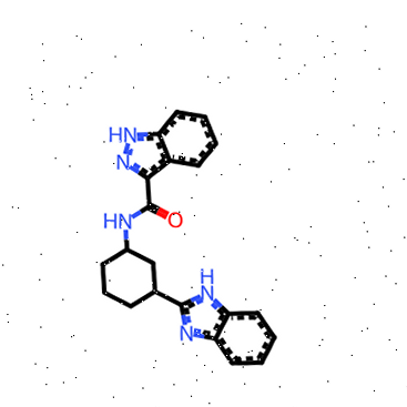 O=C(NC1CCCC(c2nc3ccccc3[nH]2)C1)c1n[nH]c2ccccc12